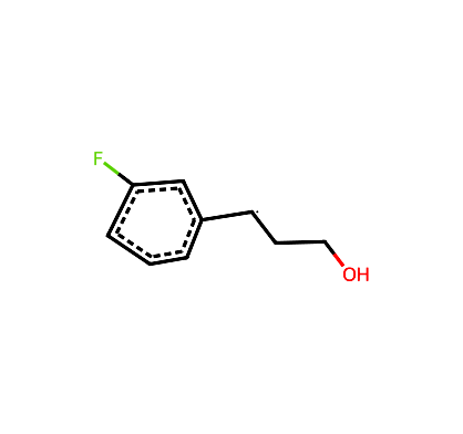 OCC[CH]c1cccc(F)c1